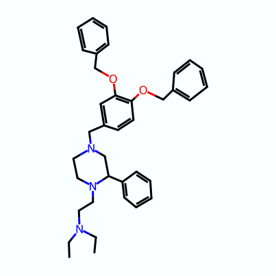 CCN(CC)CCN1CCN(Cc2ccc(OCc3ccccc3)c(OCc3ccccc3)c2)CC1c1ccccc1